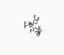 CS(=O)(=O)c1cc(F)c(-c2cc(C(F)F)nn2-c2ccc(F)c(F)c2)cc1F